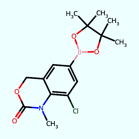 CN1C(=O)OCc2cc(B3OC(C)(C)C(C)(C)O3)cc(Cl)c21